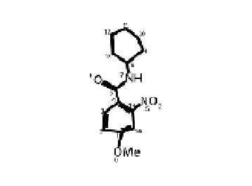 COc1ccc(C(=O)NC2CCCCC2)c([N+](=O)[O-])c1